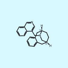 c1ccc2c(c1)C[C@H]1CC[C@@H](C2)N(Cc2cncc3ccccc23)C1